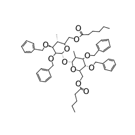 CCCCCC(=O)OCC1O[C@H](O[C@H]2OC(COC(=O)CCCC)[C@@H](OCc3ccccc3)C(OCc3ccccc3)C2C)C(OCc2ccccc2)[C@@H](OCc2ccccc2)[C@@H]1C